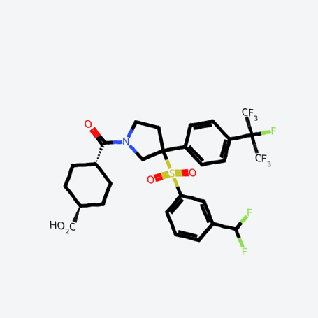 O=C(O)[C@H]1CC[C@H](C(=O)N2CCC(c3ccc(C(F)(C(F)(F)F)C(F)(F)F)cc3)(S(=O)(=O)c3cccc(C(F)F)c3)C2)CC1